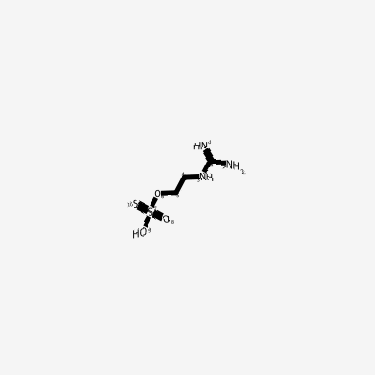 N=C(N)NCCOS(=O)(O)=S